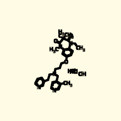 CCN1C(=O)C(C)(C)C(=O)N(C)c2cc(OCCCN(CCc3cccnc3)Cc3ccncc3C)ccc21.Cl.Cl.Cl